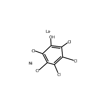 Oc1c(Cl)c(Cl)c(Cl)c(Cl)c1Cl.[La].[Ni]